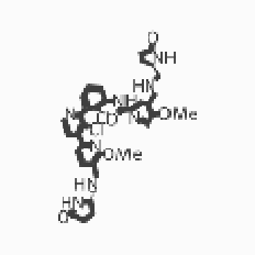 COc1cnc(C(=O)Nc2cccc(-c3nccc(-c4ccc(CNC[C@@H]5CCC(=O)N5)c(OC)n4)c3Cl)c2Cl)cc1CNC[C@H]1CCC(=O)N1